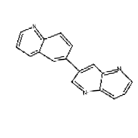 c1cnc2ccc(-c3cnc4cccnc4c3)cc2c1